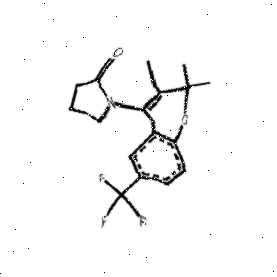 CC1=C(N2CCCC2=O)c2cc(C(F)(F)F)ccc2OC1(C)C